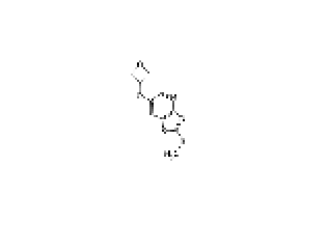 CSc1nc2ncc(OC3COC3)cc2s1